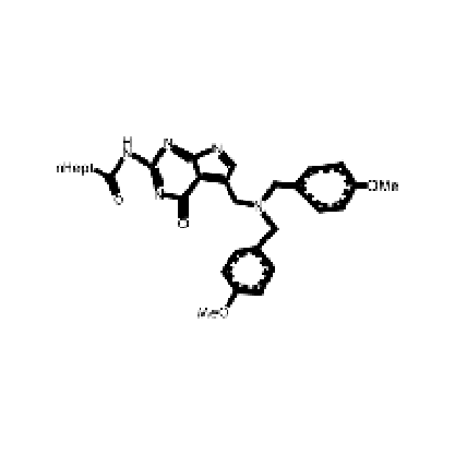 CCCCCCCC(=O)NC1=NC(=O)C2=C(CN(Cc3ccc(OC)cc3)Cc3ccc(OC)cc3)C=NC2=N1